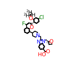 [2H]C([2H])([2H])Oc1cc(Cl)ccc1[C@H]1C=C(F)c2cccc(C3CCN(Cc4nc5ccc(C(=O)O)cc5n4C[C@@H]4CCO4)CC3)c2O1